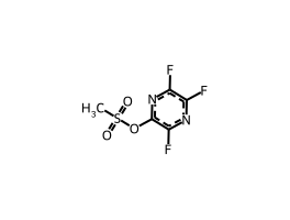 CS(=O)(=O)Oc1nc(F)c(F)nc1F